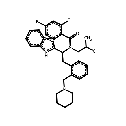 CC(C)CN(C(=O)c1ccc(F)cc1F)C(Cc1ccccc1CN1CCCCC1)c1nc2ccccc2[nH]1